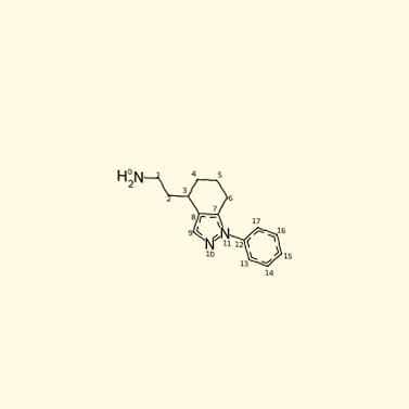 NCCC1CCCc2c1cnn2-c1ccccc1